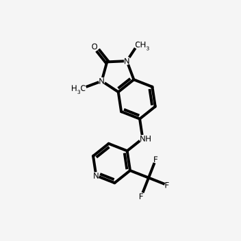 Cn1c(=O)n(C)c2cc(Nc3ccncc3C(F)(F)F)ccc21